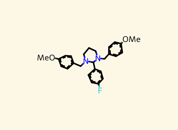 COc1ccc(CN2CCCN(Cc3ccc(OC)cc3)C2c2ccc(F)cc2)cc1